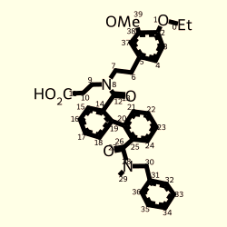 CCOc1ccc(CCN(CCC(=O)O)C(=O)c2ccccc2-c2ccccc2C(=O)N(C)Cc2ccccc2)cc1OC